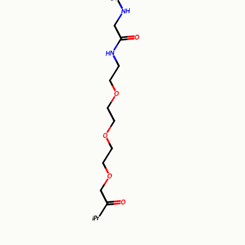 CC(C)NCC(=O)NCCOCCOCCOCC(=O)C(C)C